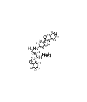 Cl.Cl.N[C@H](CC(=O)NC1COc2ccccc21)c1ccc(C(=O)Nc2ccncc2)cc1